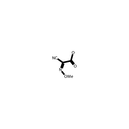 CON=C(C#N)C([O])=O